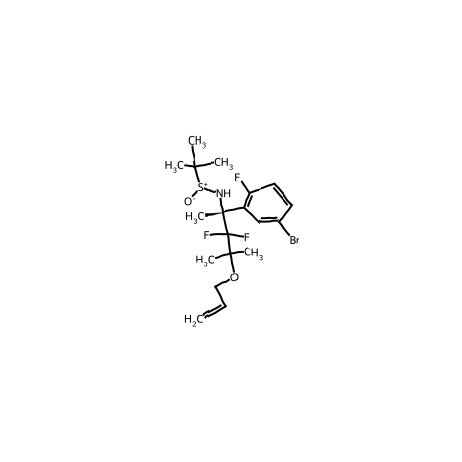 C=CCOC(C)(C)C(F)(F)[C@](C)(N[S+]([O-])C(C)(C)C)c1cc(Br)ccc1F